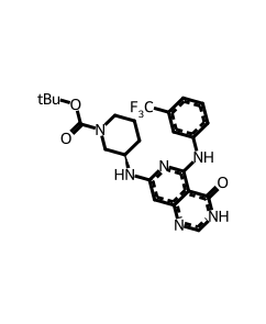 CC(C)(C)OC(=O)N1CCC[C@@H](Nc2cc3nc[nH]c(=O)c3c(Nc3cccc(C(F)(F)F)c3)n2)C1